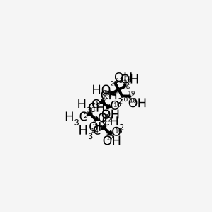 C=C(C)C(=O)O.C=C(C)C(=O)O.C=C(C)C(=O)O.OCCC(CO)(CO)CO